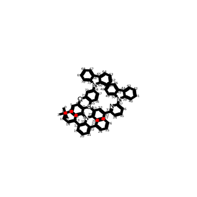 CC(C)(C)c1cc2c3c(c1)N(c1c(-c4ccccc4)cccc1-c1ccccc1)c1ccc(-c4cccc(-n5c6ccccc6c6ccccc65)n4)cc1B3c1ccc(-n3c4ccccc4c4ccccc43)cc1O2